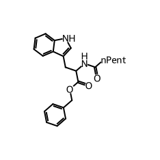 CCCCCC(=O)NC(Cc1c[nH]c2ccccc12)C(=O)OCc1ccccc1